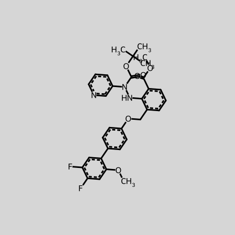 COC(=O)c1cccc(COc2ccc(-c3cc(F)c(F)cc3OC)cc2)c1NN(C(=O)OC(C)(C)C)c1cccnc1